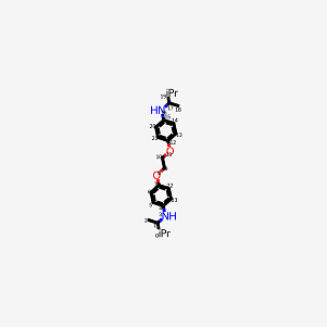 CC(C)C(C)Nc1ccc(OCCOc2ccc(NC(C)C(C)C)cc2)cc1